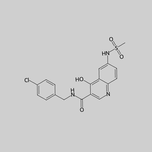 CS(=O)(=O)Nc1ccc2ncc(C(=O)NCc3ccc(Cl)cc3)c(O)c2c1